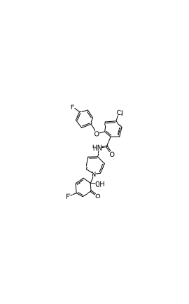 O=C(NC1=CCN(C2(O)C=CC(F)=CC2=O)C=C1)c1ccc(Cl)cc1Oc1ccc(F)cc1